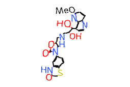 COc1ccc2nccc(C(O)C(O)CNCC3CN(c4ccc5c(c4)NC(=O)CS5)C(=O)O3)c2n1